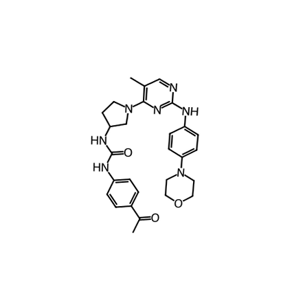 CC(=O)c1ccc(NC(=O)NC2CCN(c3nc(Nc4ccc(N5CCOCC5)cc4)ncc3C)C2)cc1